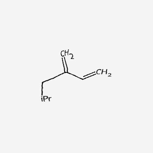 C=CC(=C)CC(C)C